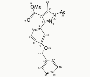 COC(=O)c1c(-c2cccc(OCc3ccccc3)c2)nn(C(C)=O)c1C